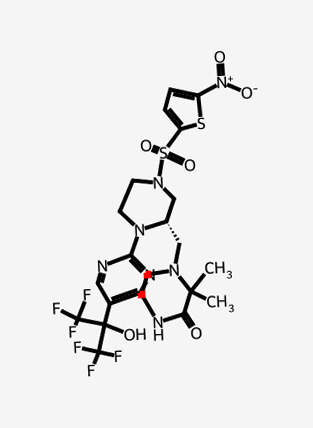 CC1(C)C(=O)NCCN1C[C@H]1CN(S(=O)(=O)c2ccc([N+](=O)[O-])s2)CCN1c1ncc(C(O)(C(F)(F)F)C(F)(F)F)cn1